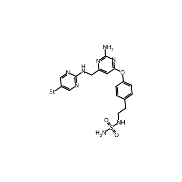 CCc1cnc(NCc2cc(Oc3ccc(CCNS(N)(=O)=O)cc3)nc(N)n2)nc1